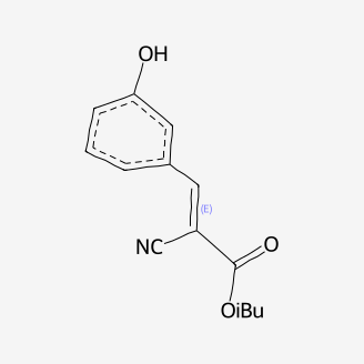 CC(C)COC(=O)/C(C#N)=C/c1cccc(O)c1